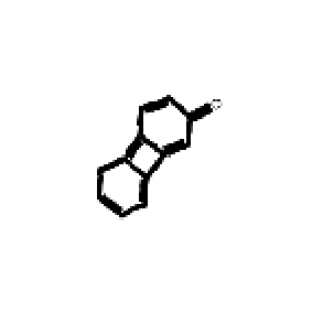 O=C1C=CC2=C3CC=CC=C3C2=C1